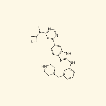 CN(c1cc(-c2ccc3nc(Nc4cc(CN5CCNCC5)ccn4)[nH]c3c2)ncn1)C1CCC1